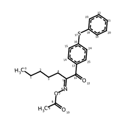 CCCCC/C(=N\OC(C)=O)C(=O)c1ccc(Sc2ccccc2)cc1